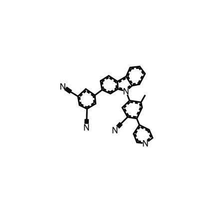 Cc1cc(-c2ccncc2)c(C#N)cc1-n1c2ccccc2c2ccc(-c3cc(C#N)cc(C#N)c3)cc21